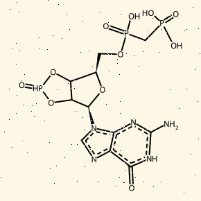 Nc1nc2c(ncn2[C@@H]2O[C@H](COP(=O)(O)CP(=O)(O)O)C3O[PH](=O)OC32)c(=O)[nH]1